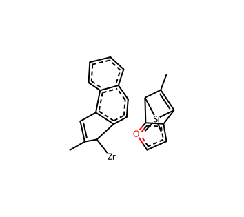 CC1=C2c3ccoc3C1[Si]2(C)C.CC1=Cc2c(ccc3ccccc23)[CH]1[Zr]